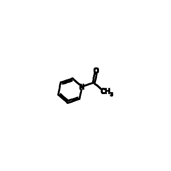 CC(=O)N1C=C=CC=C1